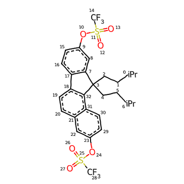 CC(C)CCC1(CCC(C)C)c2cc(OS(=O)(=O)C(F)(F)F)ccc2-c2ccc3cc(OS(=O)(=O)C(F)(F)F)ccc3c21